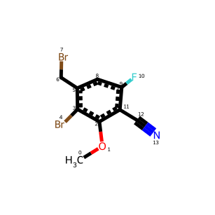 COc1c(Br)c(CBr)cc(F)c1C#N